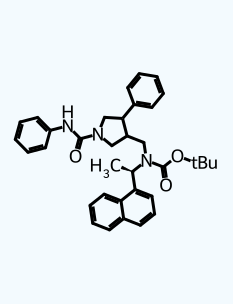 C[C@H](c1cccc2ccccc12)N(CC1CN(C(=O)Nc2ccccc2)CC1c1ccccc1)C(=O)OC(C)(C)C